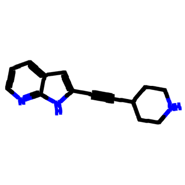 C(#CC1CCNCC1)c1cc2cccnc2[nH]1